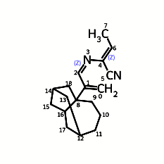 C=C(/C=N\C(C#N)=C/C)C12CCCC3CC(CC1C3)C2